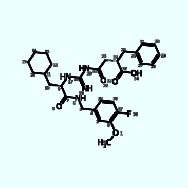 COc1cc(CNC(=O)[C@@H](CC2CCCCC2)NC(=N)NC(=O)C[C@H](Cc2ccccc2)C(=O)O)ccc1F